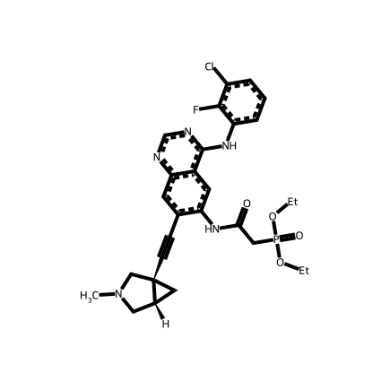 CCOP(=O)(CC(=O)Nc1cc2c(Nc3cccc(Cl)c3F)ncnc2cc1C#C[C@@]12C[C@@H]1CN(C)C2)OCC